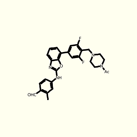 CC(=O)N1CCN(Cc2c(F)cc(-c3cccc4nc(Nc5ccc(C=O)c(C)c5)oc34)cc2F)CC1